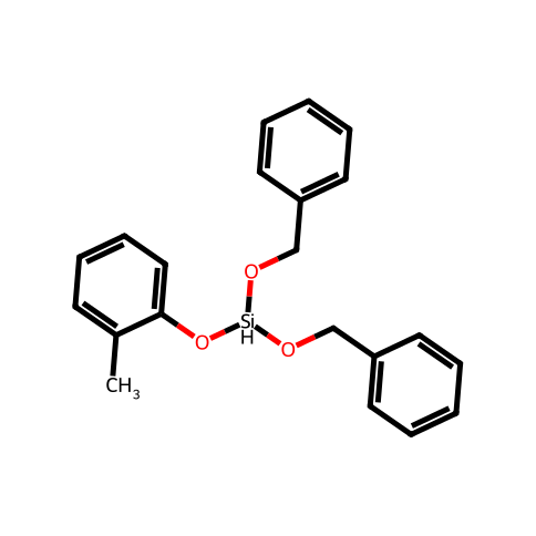 Cc1ccccc1O[SiH](OCc1ccccc1)OCc1ccccc1